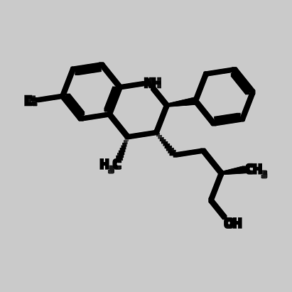 CCc1ccc2c(c1)[C@@H](C)[C@@H](CC[C@@H](C)CO)[C@H](C1C=CC=CC1)N2